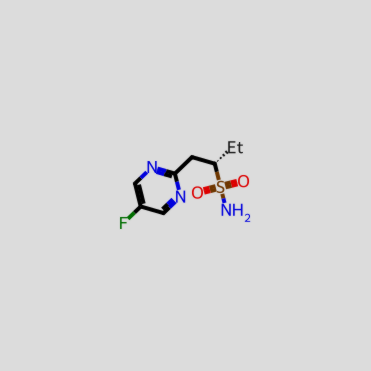 CC[C@@H](Cc1ncc(F)cn1)S(N)(=O)=O